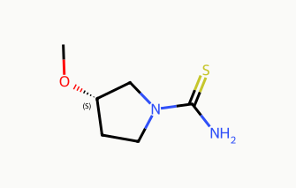 CO[C@H]1CCN(C(N)=S)C1